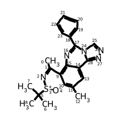 C/C(=N/[S@+]([O-])C(C)(C)C)c1cc(C)cc2c1nc(-c1ccccc1)n1cnnc21